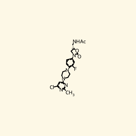 CC(=O)NC[C@H]1CN(c2ccc(N3CCN(c4cc(Cl)nc(C)n4)CC3)c(F)c2)C(=O)O1